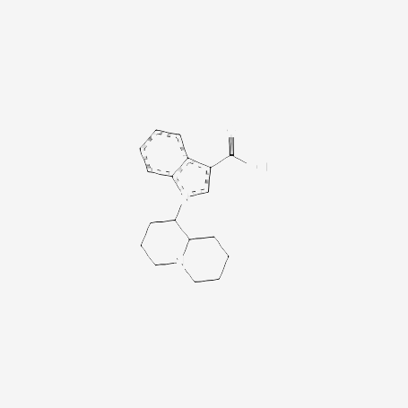 O=C(O)c1cn(C2CCCN3CCCCC23)c2ccccc12